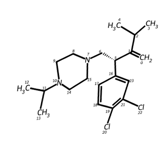 C=C(C(C)C)[C@@H](CN1CCN(C(C)C)CC1)c1ccc(Cl)c(Cl)c1